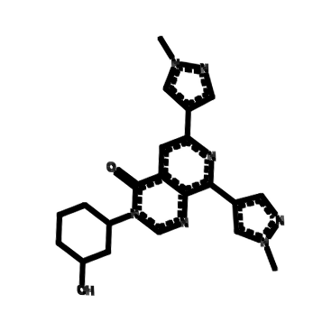 Cn1cc(-c2cc3c(=O)n(C4CCCC(O)C4)cnc3c(-c3cnn(C)c3)n2)cn1